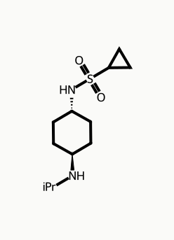 CC(C)N[C@H]1CC[C@H](NS(=O)(=O)C2CC2)CC1